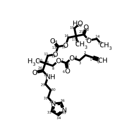 C#CCCOC(=O)OCC(C)(COC(=O)OCC(C)(CO)C(=O)OCC)C(=O)NCCCn1ccnc1